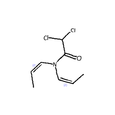 C/C=C\N(/C=C\C)C(=O)C(Cl)Cl